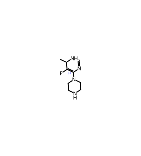 C=N/C(=C(/F)C(C)N)N1CCNCC1